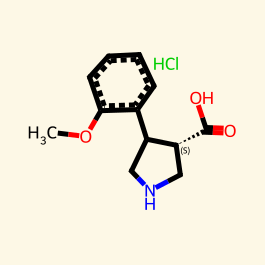 COc1ccccc1C1CNC[C@H]1C(=O)O.Cl